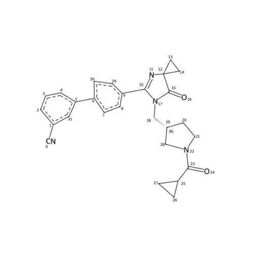 N#Cc1cccc(-c2ccc(C3=NC4(CC4)C(=O)N3C[C@@H]3CCN(C(=O)C4CC4)C3)cc2)c1